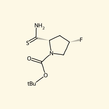 CC(C)(C)OC(=O)N1C[C@@H](F)C[C@H]1C(N)=S